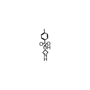 C1CNC1.Cc1ccc(S(=O)(=O)O)cc1